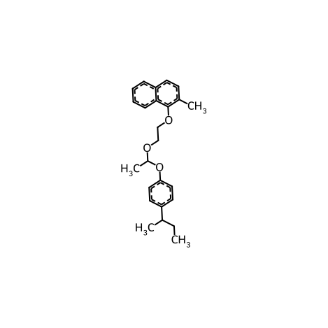 CCC(C)c1ccc(OC(C)OCCOc2c(C)ccc3ccccc23)cc1